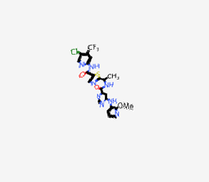 COc1ncccc1Nc1cc(C(=O)NC(C)c2ncc(C(=O)Nc3cc(C(F)(F)F)c(Cl)cn3)s2)ncn1